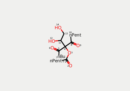 CCCCCC(=O)OC(C(=O)CCCC)(C(=O)CCCCC)C(O)CO